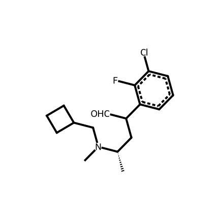 C[C@@H](CC(C=O)c1cccc(Cl)c1F)N(C)CC1CCC1